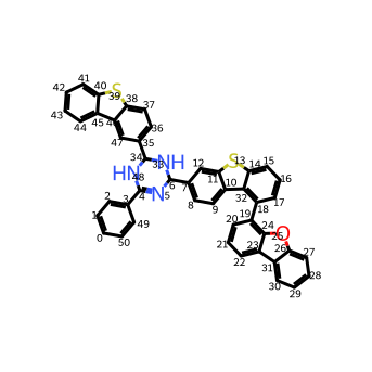 c1ccc(C2=NC(c3ccc4c(c3)sc3cccc(-c5cccc6c5oc5ccccc56)c34)NC(c3ccc4sc5ccccc5c4c3)N2)cc1